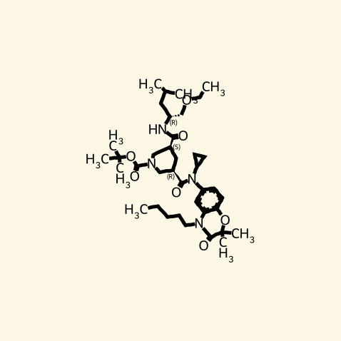 CCCCCN1C(=O)C(C)(C)Oc2ccc(N(C(=O)[C@@H]3C[C@H](C(=O)N[C@@H](COCC)CC(C)C)CN(C(=O)OC(C)(C)C)C3)C3CC3)cc21